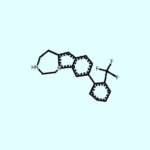 FC(F)(F)c1ccccc1-c1ccc2cc3n(c2c1)CCNCC3